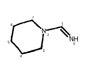 N=[C]N1CCCCC1